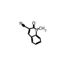 Cn1c(=O)c(C#N)cc2ccccc21